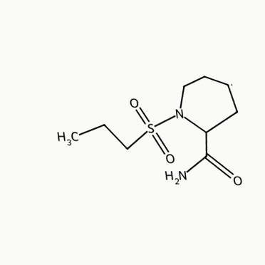 CCCS(=O)(=O)N1CC[CH]CC1C(N)=O